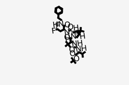 CC(C)[C@H](NC(=O)N[C@H](C(=O)N1C[C@H]2[C@@H]([C@H]1C(=O)NC(CC(F)F)C(=O)NCCc1ccccc1)C2(C)C)C(C)(C)C)C(=O)OC(C)(C)C